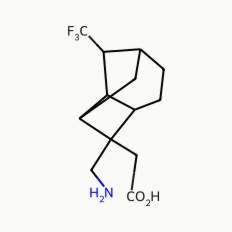 NCC1(CC(=O)O)C2CCC3CC1C2C3C(F)(F)F